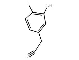 N#CCc1ccc(F)c(N)c1